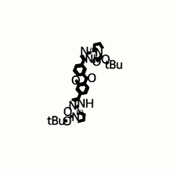 CC(C)(C)OC(=O)N1CCC[C@H]1c1ncc(-c2ccc3c(=O)c4cc(-c5cnc([C@@H]6CCCN6C(=O)OC(C)(C)C)[nH]5)ccc4oc3c2)[nH]1